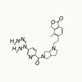 Cc1c(CCN2CCC3CN(C(=O)c4ccc(N(N)/C=N\N)cn4)CC32)ccc2c1COC2=O